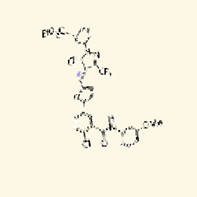 CCOC(=O)c1cccc(N2N=C(C(F)(F)F)/C(=C\c3ccc(-c4ccc(Cl)c(C(=O)Nc5cccc(OC)c5)c4)o3)C2=O)c1